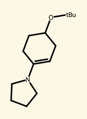 CC(C)(C)OC1CC=C(N2CCCC2)CC1